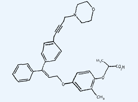 Cc1cc(OCC=C(c2ccccc2)c2ccc(C#CCN3CCOCC3)cc2)ccc1OC(C)C(=O)O